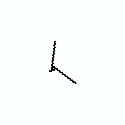 CCCCCCCCCCCCCCCCc1cc(CC)cc(CCCCCCCCCCCCCCCC)c1